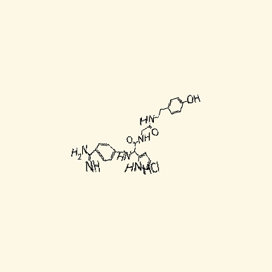 Cl.N=C(N)c1ccc(CNC(C(=O)NCC(=O)NCCc2ccc(O)cc2)c2ccc[nH]2)cc1